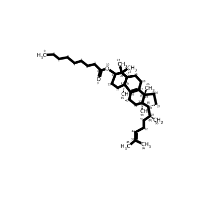 CCCCCCCCC(=O)OC1CC[C@]2(C)C3=C(CCC2C1(C)C)[C@]1(C)CC[C@H]([C@H](C)CCC=C(C)C)[C@@]1(C)CC3